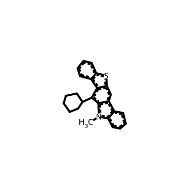 Cn1c2ccccc2c2cc3sc4ccccc4c3c(C3CCCCC3)c21